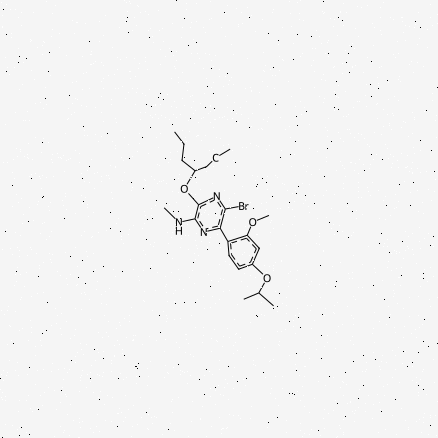 CCCC(CCC)Oc1nc(Br)c(-c2ccc(OC(C)C)cc2OC)nc1NC